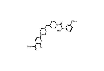 CNC(=O)c1ccc(N2CCC(CC3CCN(C(=O)C(O)c4cccc(OC)c4)CC3)CC2)nc1Cl